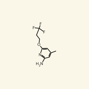 Cc1cc(N)nc(OCCC(F)(F)F)c1